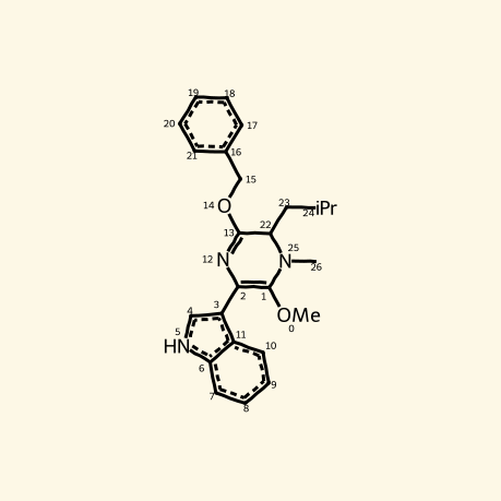 COC1=C(c2c[nH]c3ccccc23)N=C(OCc2ccccc2)C(CC(C)C)N1C